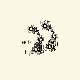 Cc1cc(C(F)(F)F)c(NC(=O)CN2CCN(CCSc3nc4ccccc4s3)CC2)c(C)n1.Cc1cc(C(F)(F)F)c(NC(=O)CN2CCN(CCSc3nc4ccccc4s3)CC2)c(C)n1.Cl.Cl